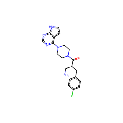 NC[C@H](Cc1ccc(Cl)cc1)C(=O)N1CCN(c2ncnc3[nH]ccc23)CC1